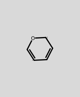 [C]1C=C[C]=CO1